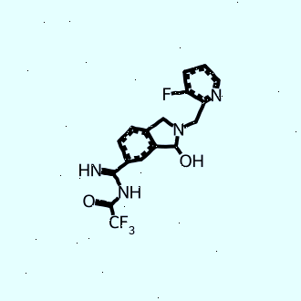 N=C(NC(=O)C(F)(F)F)c1ccc2c(c1)C(O)N(Cc1ncccc1F)C2